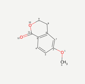 COc1ccc2c(c1)C[CH]OC2=O